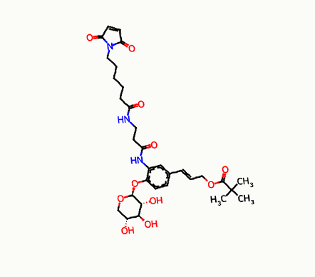 CC(C)(C)C(=O)OC/C=C/c1ccc(O[C@@H]2OC[C@@H](O)[C@H](O)[C@H]2O)c(NC(=O)CCNC(=O)CCCCCN2C(=O)C=CC2=O)c1